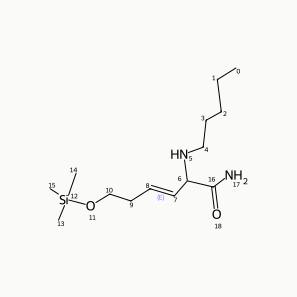 CCCCCNC(/C=C/CCO[Si](C)(C)C)C(N)=O